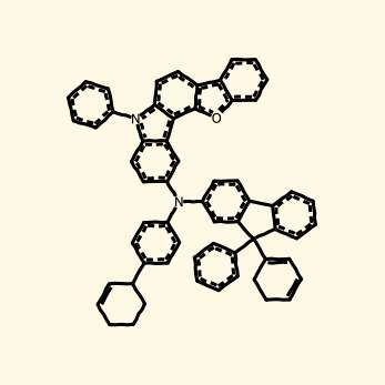 C1=CCCC(C2(c3ccccc3)c3ccccc3-c3ccc(N(c4ccc(C5C=CCCC5)cc4)c4ccc5c(c4)c4c6oc7ccccc7c6ccc4n5-c4ccccc4)cc32)=C1